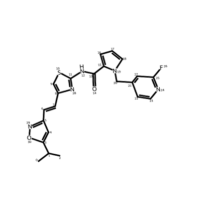 CC(C)c1cc(C=Cc2csc(NC(=O)c3cccn3Cc3ccnc(F)c3)n2)no1